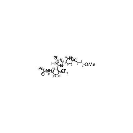 COCCCOc1ccc(-c2cc(=O)[nH]c(-c3cc(CNC(=O)C(C)C)ccc3C(F)(F)F)n2)cn1